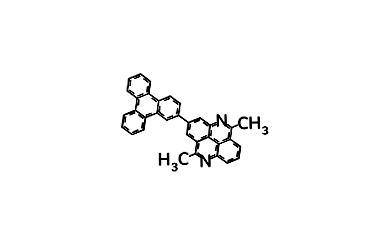 Cc1nc2cc(-c3ccc4c5ccccc5c5ccccc5c4c3)cc3c(C)nc4cccc1c4c23